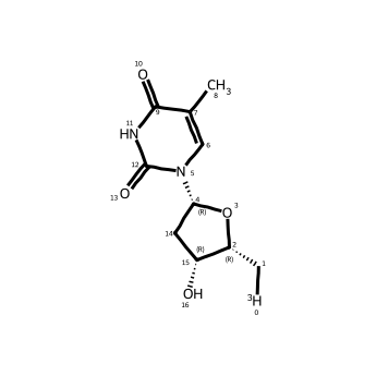 [3H]C[C@H]1O[C@@H](n2cc(C)c(=O)[nH]c2=O)C[C@H]1O